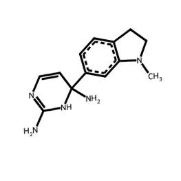 CN1CCc2ccc(C3(N)C=CN=C(N)N3)cc21